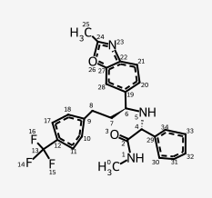 CNC(=O)[C@H](N[C@@H](CCc1ccc(C(F)(F)F)cc1)c1ccc2nc(C)oc2c1)c1ccccc1